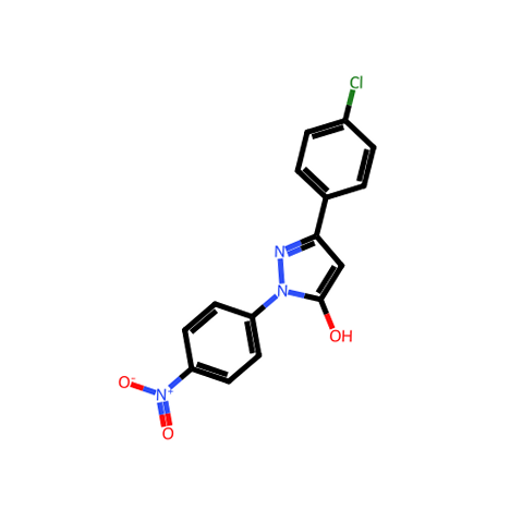 O=[N+]([O-])c1ccc(-n2nc(-c3ccc(Cl)cc3)cc2O)cc1